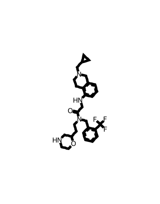 O=C(CNc1cccc2c1CCN(CC1CC1)C2)N(CCC1CNCCO1)Cc1ccccc1C(F)(F)F